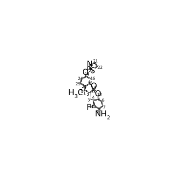 Cc1c(Cc2cccc(N)c2F)c(=O)oc2cc(Oc3nccs3)ccc12